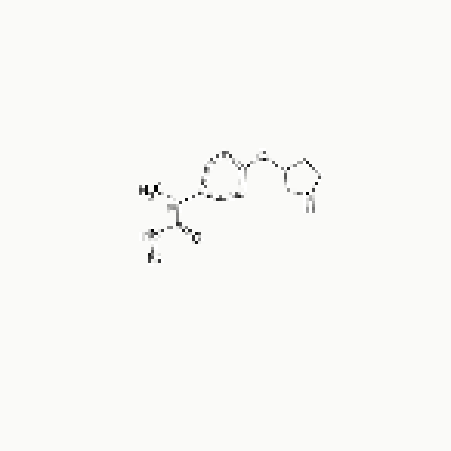 CCNC(=O)[C@H](C)c1ccc(OC2CCNC2)cc1